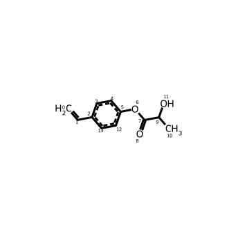 C=Cc1ccc(OC(=O)C(C)O)cc1